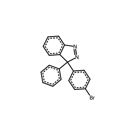 Brc1ccc(C2(c3ccccc3)N=Nc3ccccc32)cc1